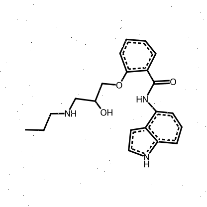 CCCNCC(O)COc1ccccc1C(=O)Nc1cccc2[nH]ccc12